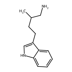 CC(CN)CCc1c[nH]c2ccccc12